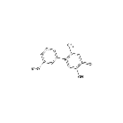 COc1cccc(-n2cc(O)c(=O)cc2C)c1